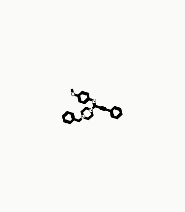 COc1ccc(N=C(C#Cc2ccccc2)N2CCN(Cc3ccccc3)CC2)cc1